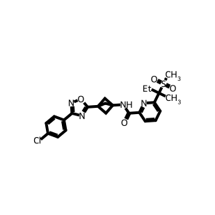 CCC(C)(c1cccc(C(=O)NC23CC(c4nc(-c5ccc(Cl)cc5)no4)(C2)C3)n1)S(C)(=O)=O